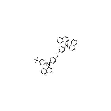 CC(C)(C)c1ccc(N(c2ccc(/C=C/c3ccc(N(c4cccc5ccccc45)c4cccc5ccccc45)cc3)cc2)c2cccc3ccccc23)cc1